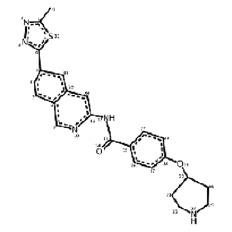 Cc1nnc(-c2ccc3cnc(NC(=O)c4ccc(OC5CCNCC5)cc4)cc3c2)s1